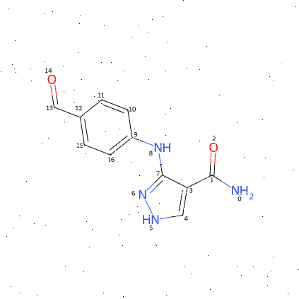 NC(=O)c1c[nH]nc1Nc1ccc(C=O)cc1